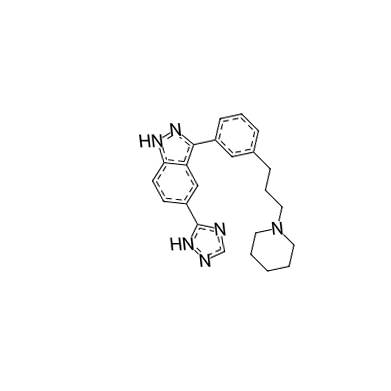 c1cc(CCCN2CCCCC2)cc(-c2n[nH]c3ccc(-c4ncn[nH]4)cc23)c1